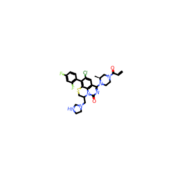 C=CC(=O)N1CCN(c2nc(=O)n3c4c(c(-c5ccc(F)cc5F)c(Cl)cc24)SCC3CN2CCNC2)[C@@H](C)C1